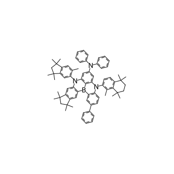 Cc1cc2c(cc1N1c3cc4c(cc3B3c5cc(-c6ccccc6)ccc5N(c5ccc6c(c5C)C(C)(C)CCC6(C)C)c5cc(N(c6ccccc6)c6ccccc6)cc1c53)C(C)(C)CC4(C)C)C(C)(C)CC2(C)C